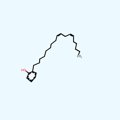 CCCCC/C=C\C/C=C\CCCCCCCCc1ccccc1O